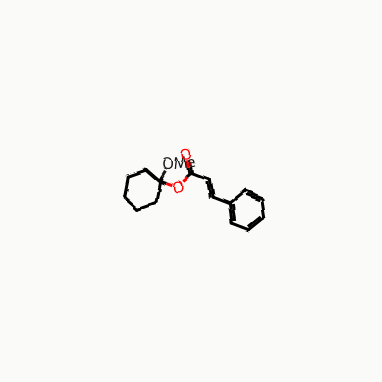 COC1(OC(=O)C=Cc2ccccc2)CCCCC1